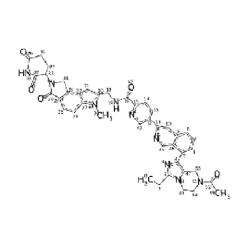 CCc1nc(-c2cccc3cc(-c4ccc(C(=O)NCc5cc6c7c(ccc6n5C)C(=O)N(C5CCC(=O)NC5=O)C7)nc4)ncc23)c2n1CCN(C(C)=O)C2